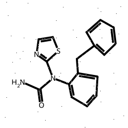 NC(=O)N(c1nccs1)c1ccccc1Cc1ccccc1